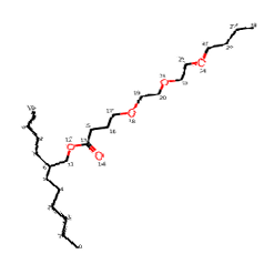 CCCCCCC(CCCC)COC(=O)CCCOCCOCCOCCCC